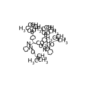 CC1(C)OB(c2ccc(C(=CC(=O)O)c3nc4ccccc4n3COCC[Si](C)(C)C)cc2)OC1(C)C.CC1(C)OB(c2ccc(C(=O)c3nc4ccccc4n3COCC[Si](C)(C)C)cc2)OC1(C)C